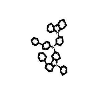 c1ccc(-c2ccc(N(c3cccc(-n4c5ccccc5c5ccccc54)c3)c3ccc4c(c3)c3c(-c5ccccc5)cccc3n4-c3ccccc3)cc2)cc1